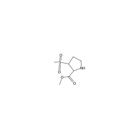 COC(=O)C1NCCC1S(C)(=O)=O